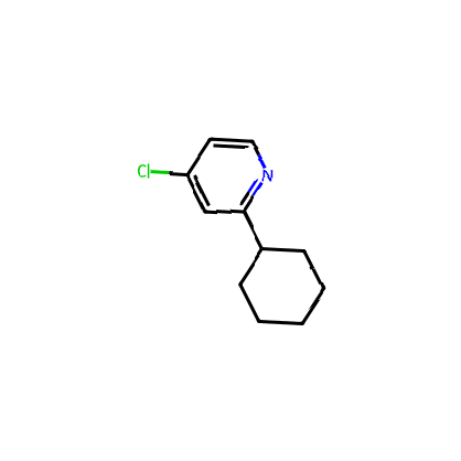 Clc1ccnc(C2CCCCC2)c1